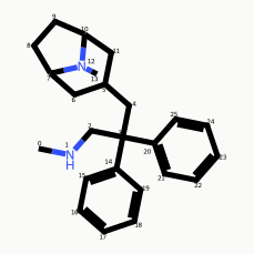 CNCC(CC1CC2CCC(C1)N2C)(c1ccccc1)c1ccccc1